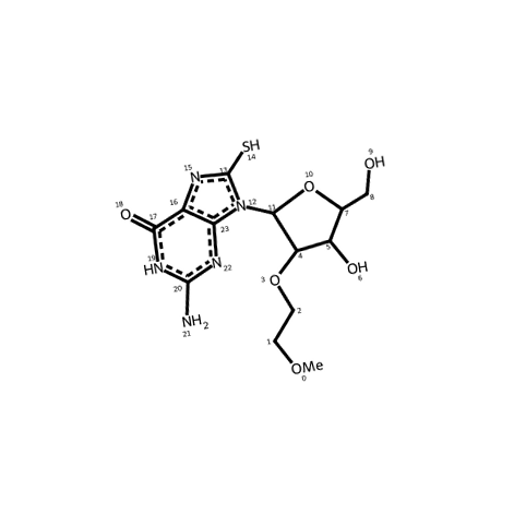 COCCOC1C(O)C(CO)OC1n1c(S)nc2c(=O)[nH]c(N)nc21